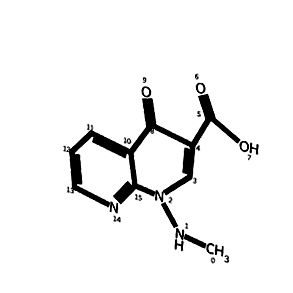 CNn1cc(C(=O)O)c(=O)c2cccnc21